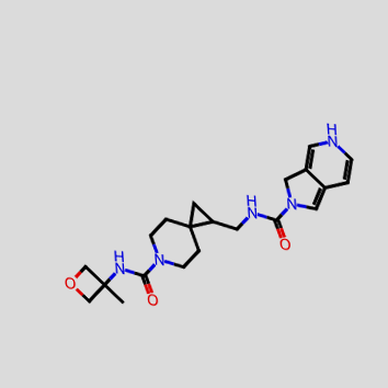 CC1(NC(=O)N2CCC3(CC2)CC3CNC(=O)N2C=C3C=CNC=C3C2)COC1